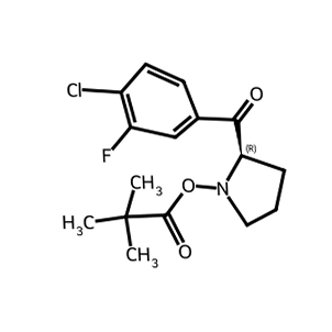 CC(C)(C)C(=O)ON1CCC[C@@H]1C(=O)c1ccc(Cl)c(F)c1